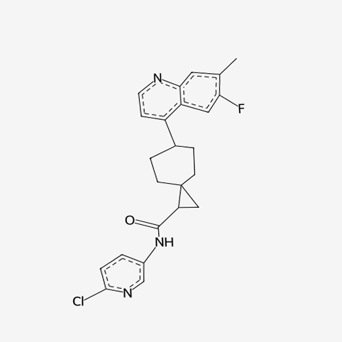 Cc1cc2nccc(C3CCC4(CC3)CC4C(=O)Nc3ccc(Cl)nc3)c2cc1F